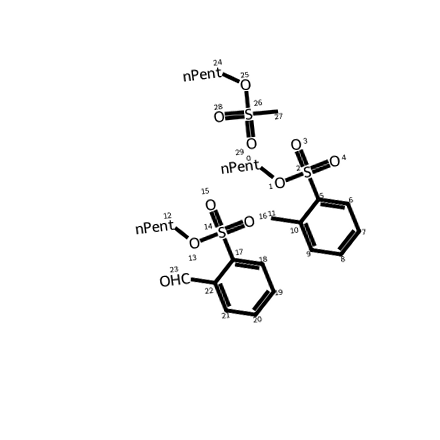 CCCCCOS(=O)(=O)c1ccccc1C.CCCCCOS(=O)(=O)c1ccccc1C=O.CCCCCOS(C)(=O)=O